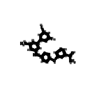 NC(=O)c1cc(Oc2ccc(Nc3cc(-c4cc(F)cc(F)c4)nc(N)n3)cc2)ccn1